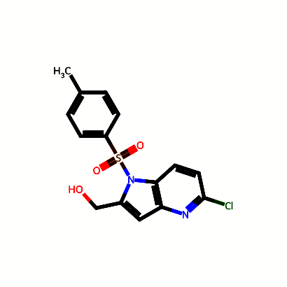 Cc1ccc(S(=O)(=O)n2c(CO)cc3nc(Cl)ccc32)cc1